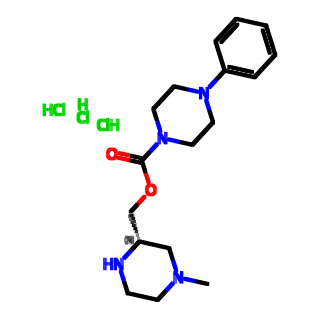 CN1CCN[C@H](COC(=O)N2CCN(c3ccccc3)CC2)C1.Cl.Cl.Cl